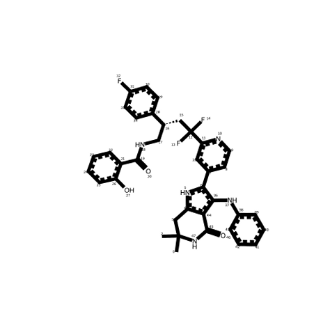 CC1(C)Cc2[nH]c(-c3ccnc(C(F)(F)C[C@H](CNC(=O)c4ccccc4O)c4ccc(F)cc4)c3)c(Nc3ccccc3)c2C(=O)N1